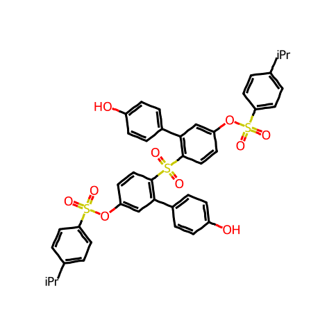 CC(C)c1ccc(S(=O)(=O)Oc2ccc(S(=O)(=O)c3ccc(OS(=O)(=O)c4ccc(C(C)C)cc4)cc3-c3ccc(O)cc3)c(-c3ccc(O)cc3)c2)cc1